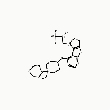 CC[C@]1(N2CCOCC2)CC[C@H](Oc2ccnc3sc4c(c23)[C@@H](C[C@@H](O)C(F)(F)F)CC4)CC1